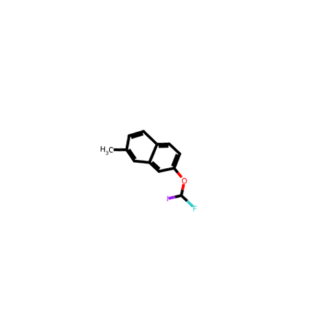 Cc1ccc2ccc(OC(F)I)cc2c1